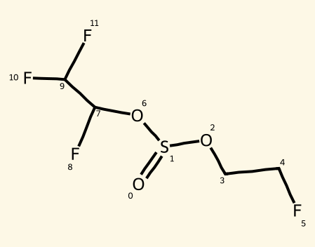 O=S(OCCF)OC(F)C(F)F